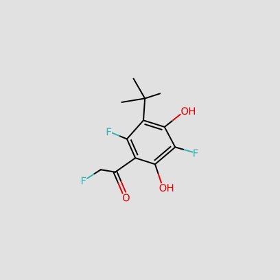 CC(C)(C)c1c(O)c(F)c(O)c(C(=O)CF)c1F